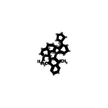 Cc1c2ccccc2c(C)c2c1c1c3c(ccc4c5c(C6CCCC6)cccc5n2c43)cc[n+]1C